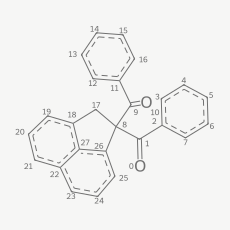 O=C(c1ccccc1)C1(C(=O)c2ccccc2)Cc2cccc3cccc1c23